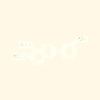 COc1cccc(-c2ccc3c(C(=O)O)c(OC)ccc3c2)c1